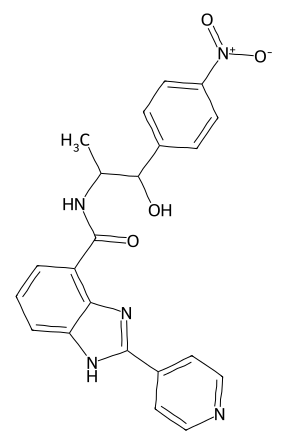 CC(NC(=O)c1cccc2[nH]c(-c3ccncc3)nc12)C(O)c1ccc([N+](=O)[O-])cc1